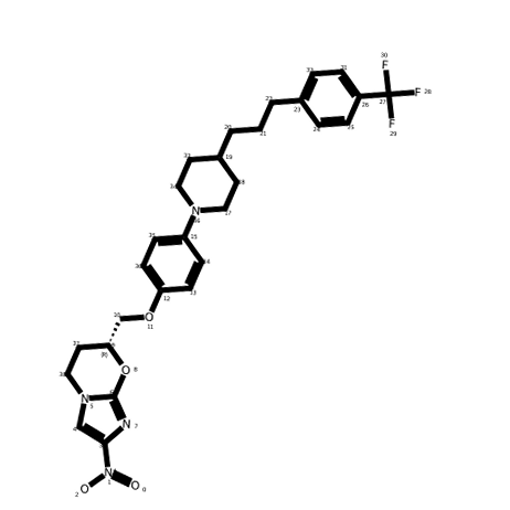 O=[N+]([O-])c1cn2c(n1)O[C@@H](COc1ccc(N3CCC(CCCc4ccc(C(F)(F)F)cc4)CC3)cc1)CC2